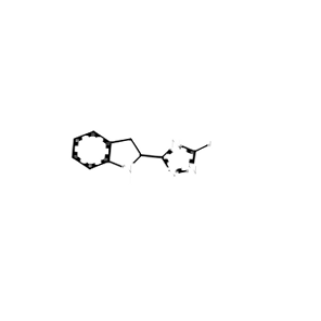 CCCc1nc(C2Cc3ccccc3N2)n[nH]1